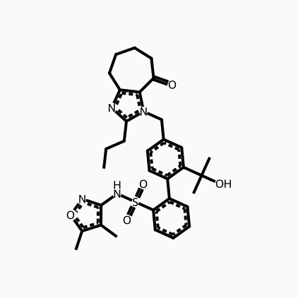 CCCc1nc2c(n1Cc1ccc(-c3ccccc3S(=O)(=O)Nc3noc(C)c3C)c(C(C)(C)O)c1)C(=O)CCCC2